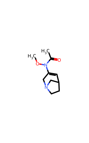 CON(C(C)=O)C1=CC2CCN(C1)C2